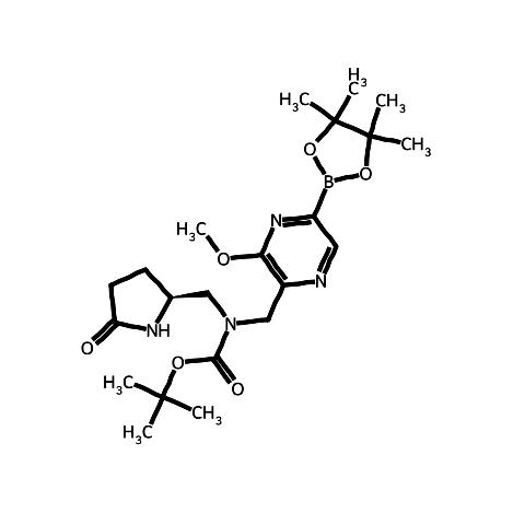 COc1nc(B2OC(C)(C)C(C)(C)O2)cnc1CN(C[C@@H]1CCC(=O)N1)C(=O)OC(C)(C)C